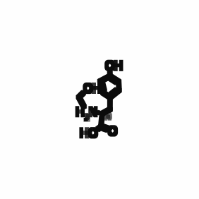 CCO.N[C@@H](Cc1ccc(O)cc1)C(=O)O